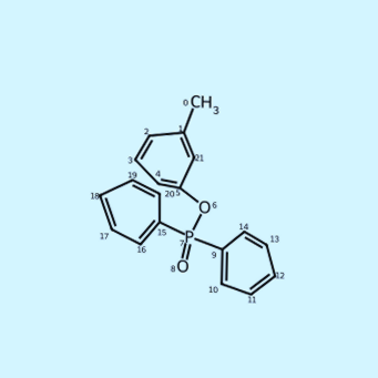 Cc1cccc(OP(=O)(c2ccccc2)c2ccccc2)c1